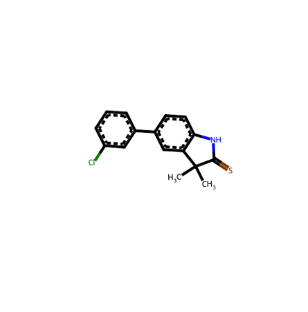 CC1(C)C(=S)Nc2ccc(-c3cccc(Cl)c3)cc21